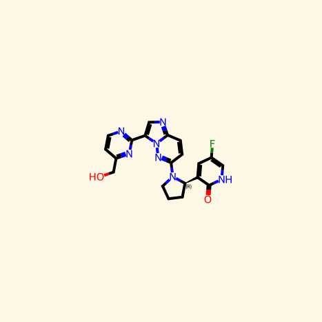 O=c1[nH]cc(F)cc1[C@H]1CCCN1c1ccc2ncc(-c3nccc(CO)n3)n2n1